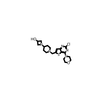 OC1CN(C2CCN(Cc3cc4nc(Cl)nc(N5CCOCC5)c4s3)CC2)C1